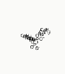 O=P([O-])([O-])CP(=O)([O-])[O-].[CaH2].[CaH2].[CaH2].[CaH2].[Na+].[Na+].[Na+].[Na+]